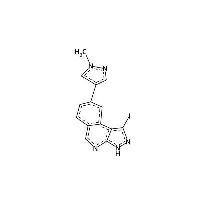 Cn1cc(-c2ccc3cnc4[nH]nc(I)c4c3c2)cn1